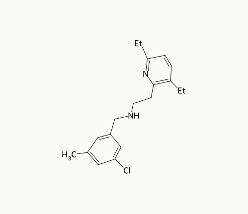 CCc1ccc(CC)c(CCNCc2cc(C)cc(Cl)c2)n1